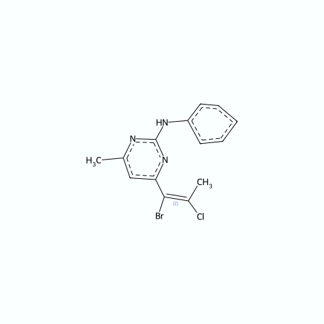 C/C(Cl)=C(/Br)c1cc(C)nc(Nc2ccccc2)n1